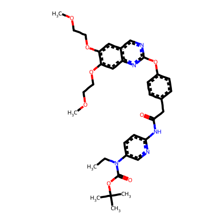 CCN(C(=O)OC(C)(C)C)c1ccc(NC(=O)Cc2ccc(Oc3ncc4cc(OCCOC)c(OCCOC)cc4n3)cc2)nc1